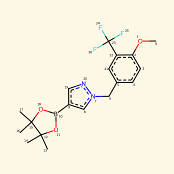 COc1ccc(Cn2cc(B3OC(C)(C)C(C)(C)O3)cn2)cc1C(F)(F)F